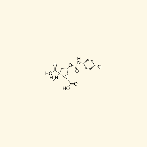 NC1(C(=O)O)CC(OC(=O)Nc2ccc(Cl)cc2)C2C(C(=O)O)C21